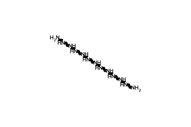 NCCNCCNCCNCCNCCNCCNCCNCCNCCNCCNCCNCCN